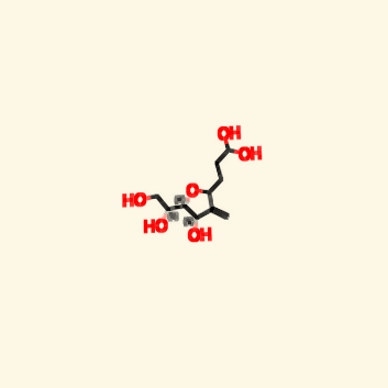 C=C1C(CCC(O)O)O[C@@H]([C@H](O)CO)[C@H]1O